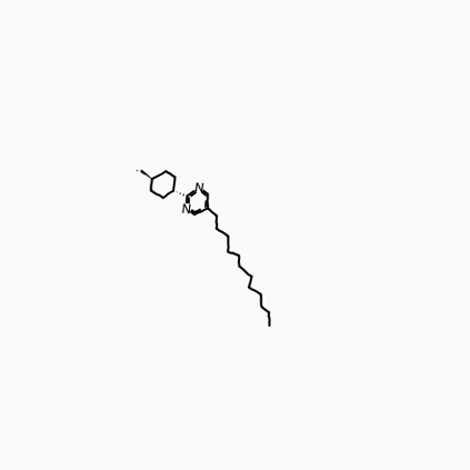 [CH2][C@H]1CC[C@H](c2ncc(CCCCCCCCCCCC)cn2)CC1